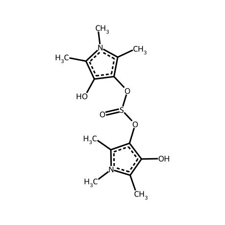 Cc1c(O)c(OS(=O)Oc2c(O)c(C)n(C)c2C)c(C)n1C